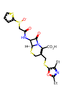 CCc1nc(CC)c(SCC2=C(C(=O)O)N3C(=O)C(NC(=O)C[S+]([O-])c4cccs4)[C@@H]3SC2)o1